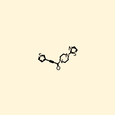 O=C(C#Cc1ccsc1)N1CCN(c2nccs2)CC1